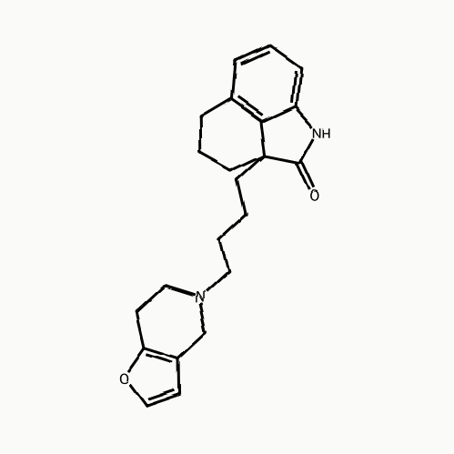 O=C1Nc2cccc3c2C1(CCCCN1CCc2occc2C1)CCC3